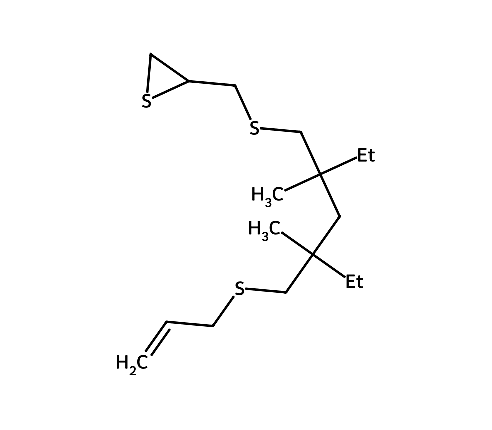 C=CCSCC(C)(CC)CC(C)(CC)CSCC1CS1